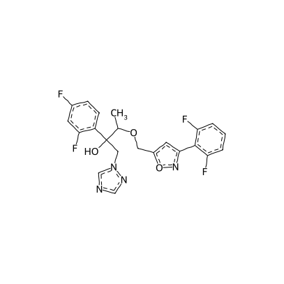 CC(OCc1cc(-c2c(F)cccc2F)no1)C(O)(Cn1cncn1)c1ccc(F)cc1F